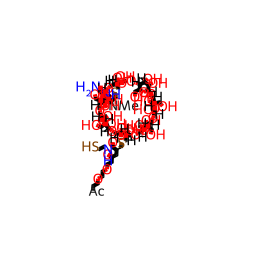 CN[C@H](CSCC1OC2O[C@@H]3C(CO)O[C@H](O[C@@H]4C(CO)O[C@H](O[C@@H]5C(CO)O[C@@H](O[C@@H]6C(CSC[C@@H](CC(=O)CCOCCOCCC(C)=O)C(=O)NCCS)O[C@H](O[C@@H]7C(CO)O[C@@H](O[C@@H]8C(CO)O[C@@H](O[C@H]1[C@H](O)C2O)C(O)[C@H]8O)C(O)[C@H]7O)C(O)[C@H]6O)C(O)[C@H]5O)C(O)[C@H]4O)C(O)[C@H]3O)C(=O)NCCN